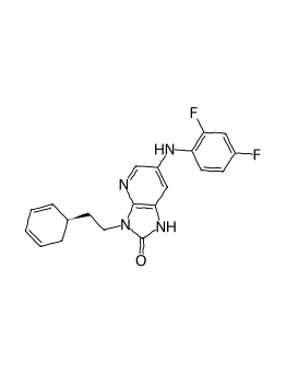 O=c1[nH]c2cc(Nc3ccc(F)cc3F)cnc2n1CC[C@@H]1C=CC=CC1